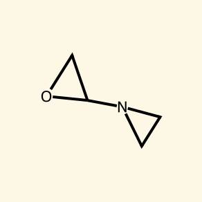 C1OC1N1CC1